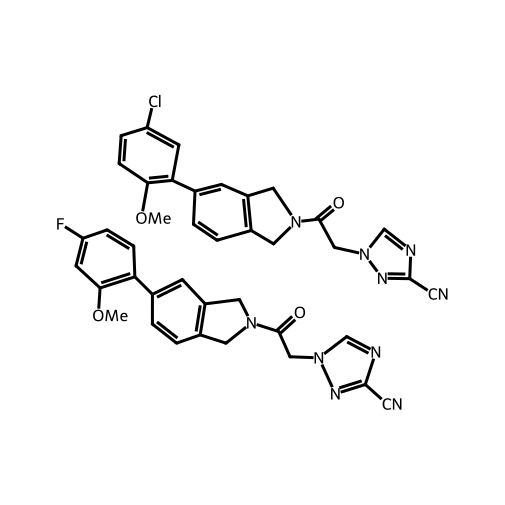 COc1cc(F)ccc1-c1ccc2c(c1)CN(C(=O)Cn1cnc(C#N)n1)C2.COc1ccc(Cl)cc1-c1ccc2c(c1)CN(C(=O)Cn1cnc(C#N)n1)C2